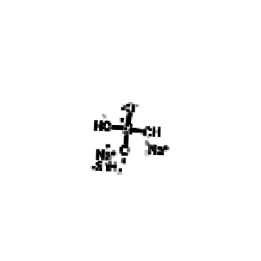 [Na+].[Na+].[O-][Si]([O-])(O)O.[SnH4]